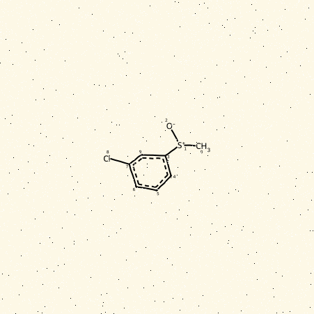 C[S+]([O-])c1[c]ccc(Cl)c1